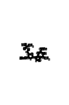 CNC1=Nc2c(ncn2[C@H]2C[C@@H](OC)C(COP(C)(=O)O)O2)C(C)N1